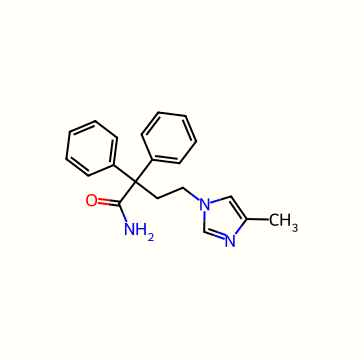 Cc1cn(CCC(C(N)=O)(c2ccccc2)c2ccccc2)cn1